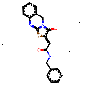 O=C(C=c1sc2n(c1=O)Cc1ccccc1N=2)NCc1ccccc1